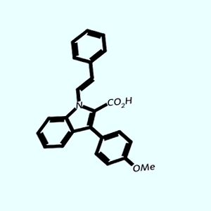 COc1ccc(-c2c(C(=O)O)n(/C=C/c3ccccc3)c3ccccc23)cc1